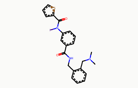 CN(C)Cc1ccccc1CNC(=O)c1cccc(N(I)C(=O)c2cccs2)c1